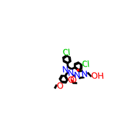 CCOc1ccc(C2=NC(c3ccc(Cl)cc3)C(c3ccc(Cl)cc3)N2C(=O)N2CCN(CCO)CC2)c(OCC)c1